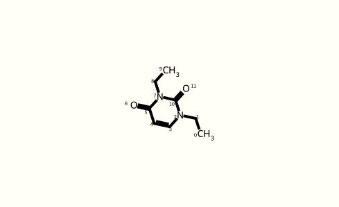 CCn1ccc(=O)n(CC)c1=O